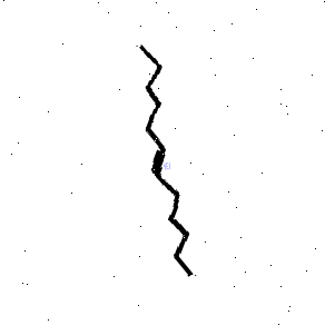 [CH2]CCCC/C=C/CCCC[CH2]